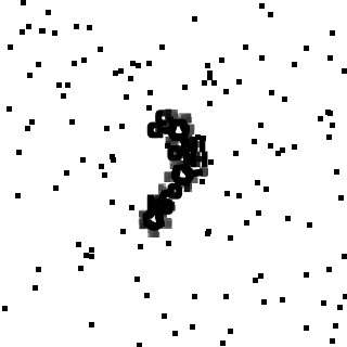 Cc1cc(OCc2nc3ccccc3o2)ccc1NC(=O)Nc1ccc(Cl)c(Cl)c1